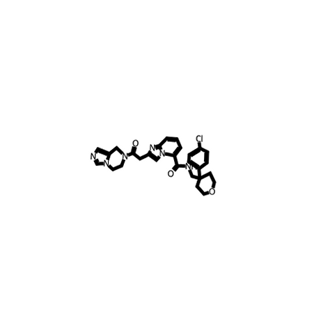 O=C(NCC1(c2ccc(Cl)cc2)CCOCC1)c1cccc2nc(CC(=O)N3CCn4cncc4C3)cn12